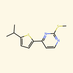 CSc1nccc(-c2ccc(C(C)C)s2)n1